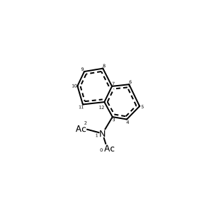 CC(=O)N(C(C)=O)c1cc[c]c2ccccc12